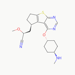 CN[C@H]1CC[C@H](Oc2ncnc3sc4c(c23)[C@@H](C[C@@H](C#N)OC)CC4)CC1